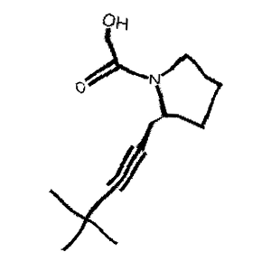 CC(C)(C)C#C[C@@H]1CCCN1C(=O)O